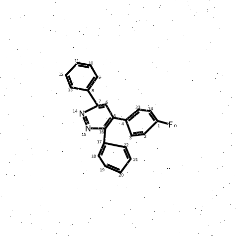 Fc1ccc(-c2cc(-c3ccccc3)nnc2-c2ccccc2)cc1